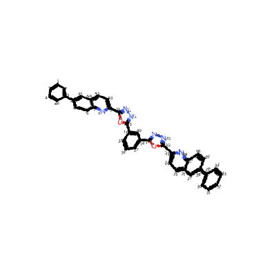 c1ccc(-c2ccc3nc(-c4nnc(-c5cccc(-c6nnc(-c7ccc8cc(-c9ccccc9)ccc8n7)o6)c5)o4)ccc3c2)cc1